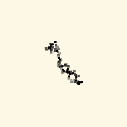 C[C@H]1CCCN(CCCOc2ccc(C3CCC(O)CC3)cc2)C1